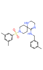 Cc1cccc(CNC2=NCCNC23CCN(S(=O)(=O)c2cc(C)cc(C)c2)CC3)c1